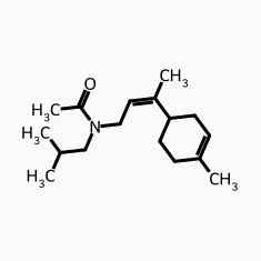 CC(=O)N(C/C=C(/C)C1CC=C(C)CC1)CC(C)C